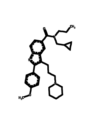 CCCN(CC1CC1)C(=O)c1ccn2nc(-c3ccc(OC)cc3)c(CCCN3CCCCC3)c2c1